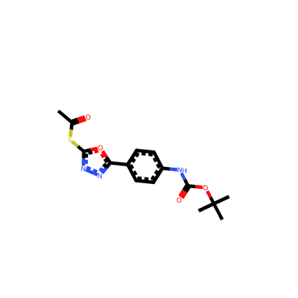 CC(=O)Sc1nnc(-c2ccc(NC(=O)OC(C)(C)C)cc2)o1